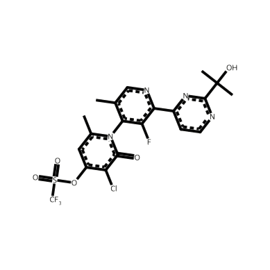 Cc1cnc(-c2ccnc(C(C)(C)O)n2)c(F)c1-n1c(C)cc(OS(=O)(=O)C(F)(F)F)c(Cl)c1=O